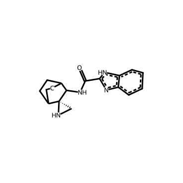 O=C(NC1C2CCC(CC2)[C@@]12CN2)c1nc2ccccc2[nH]1